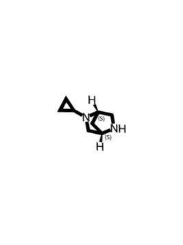 C1CC1N1C[C@@H]2C[C@H]1CN2